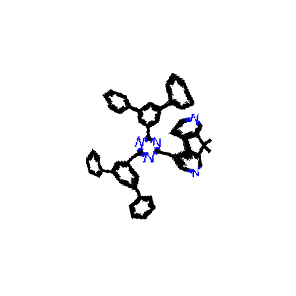 CC1(C)c2cnccc2-c2c(-c3nc(-c4cc(-c5ccccc5)cc(-c5ccccc5)c4)nc(-c4cc(-c5ccccc5)cc(-c5ccccc5)c4)n3)cncc21